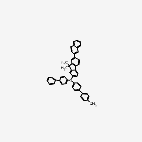 Cc1ccc(-c2ccc(N(c3ccc(-c4ccccc4)cc3)c3ccc4c(c3)C(C)(C)c3cc(-c5ccc6ccccc6c5)ccc3-4)cc2)cc1